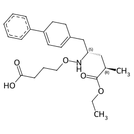 CCOC(=O)[C@H](C)C[C@@H](CC1=CC=C(c2ccccc2)CC1)NOCCCC(=O)O